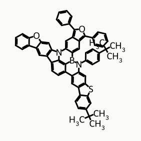 CC(C)(C)c1ccc(N2B3c4cc5c(-c6ccccc6)oc(-c6ccccc6)c5cc4-n4c5cc6oc7ccccc7c6cc5c5ccc(c3c54)-c3cc4c(cc32)sc2cc(C(C)(C)C)ccc24)cc1